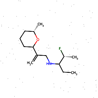 C=C(CNC(CC)[C@@H](C)F)C1CCC[C@H](C)O1